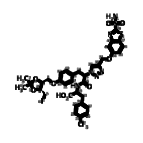 CC1(C)O[C@@H](CF)[C@H](COc2ccc(CC(C(=O)NC(Cc3ccc(C(F)(F)F)cc3)C(=O)O)n3cc(COc4ccc5sc(S(N)(=O)=O)nc5c4)nn3)cc2)O1